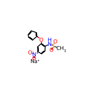 CS(=O)(=O)Nc1ccc([N+](=O)[O-])cc1Oc1ccccc1.[Na+]